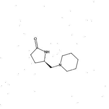 O=C1CC[C@H](CN2CCCCC2)N1